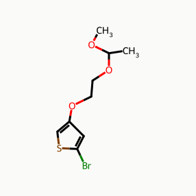 COC(C)OCCOc1csc(Br)c1